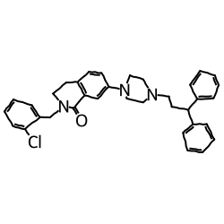 O=C1c2cc(N3CCN(CCC(c4ccccc4)c4ccccc4)CC3)ccc2CCN1Cc1ccccc1Cl